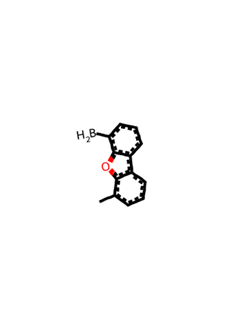 Bc1cccc2c1oc1c(C)cccc12